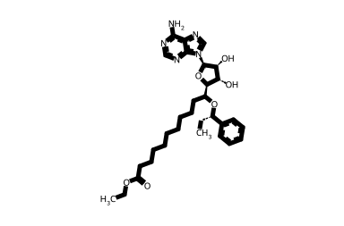 CCOC(=O)CCCCCCCCCC(O[C@@H](CC)c1ccccc1)[C@H]1O[C@@H](n2cnc3c(N)ncnc32)[C@H](O)[C@@H]1O